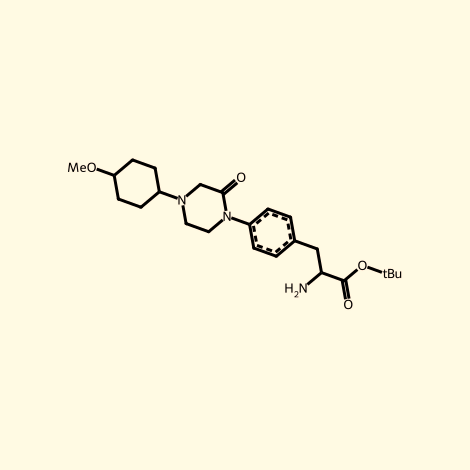 COC1CCC(N2CCN(c3ccc(CC(N)C(=O)OC(C)(C)C)cc3)C(=O)C2)CC1